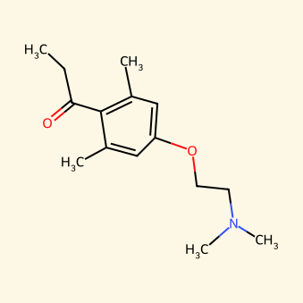 CCC(=O)c1c(C)cc(OCCN(C)C)cc1C